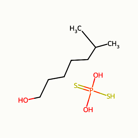 CC(C)CCCCCO.OP(O)(=S)S